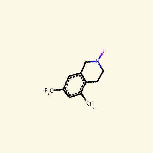 FC(F)(F)c1cc2c(c(C(F)(F)F)c1)CCN(I)C2